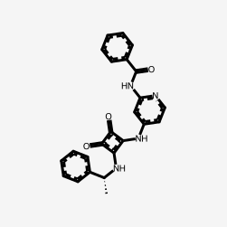 C[C@@H](Nc1c(Nc2ccnc(NC(=O)c3ccccc3)c2)c(=O)c1=O)c1ccccc1